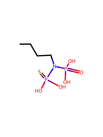 CCCCN(P(=O)(O)O)P(O)(O)=S